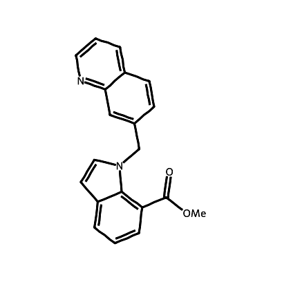 COC(=O)c1cccc2ccn(Cc3ccc4cccnc4c3)c12